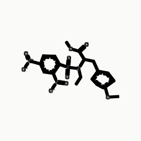 CCN(C(Cc1ccc(OC)cc1)C(=O)OC)S(=O)(=O)c1ccc([N+](=O)[O-])cc1[N+](=O)[O-]